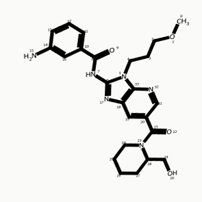 COCCCn1c(NC(=O)c2cccc(N)c2)nc2cc(C(=O)N3CCCCC3CO)cnc21